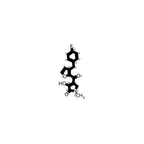 CN1CC(C(=O)c2occc2Cc2ccc(F)cc2)=C(O)C1=O